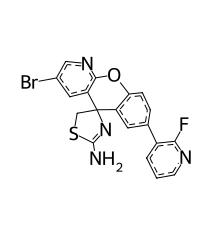 NC1=NC2(CS1)c1cc(-c3cccnc3F)ccc1Oc1ncc(Br)cc12